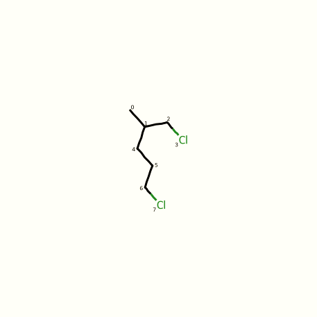 CC(CCl)CCCCl